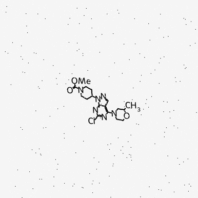 COC(=O)N1CCC(n2ncc3c(N4CCOC(C)C4)nc(Cl)nc32)CC1